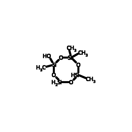 C[SiH]1O[SiH2]O[Si](C)(O)O[Si](C)(C)O1